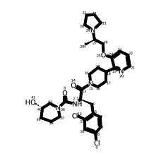 O=C(N[C@H](Cc1ccc(Cl)cc1Cl)C(=O)N1CCC(c2ncccc2OC[C@@H](I)N2CCCC2)CC1)N1CCC[C@H](O)C1